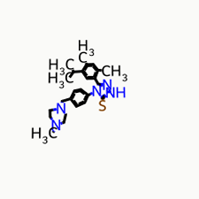 Cc1cc(C)c(C(C)C)cc1-c1n[nH]c(=S)n1-c1ccc(CN2CCN(C)CC2)cc1